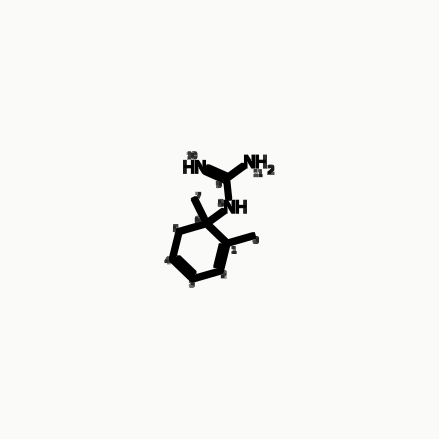 CC1=CC=CCC1(C)NC(=N)N